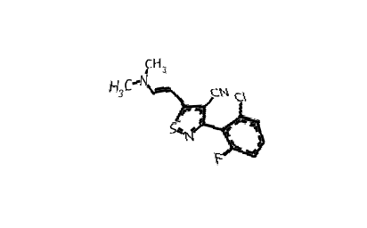 CN(C)/C=C/c1snc(-c2c(F)cccc2Cl)c1C#N